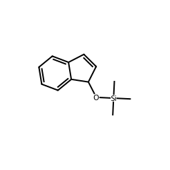 C[Si](C)(C)OC1C=Cc2ccccc21